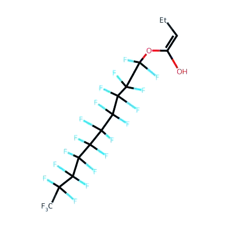 CCC=C(O)OC(F)(F)C(F)(F)C(F)(F)C(F)(F)C(F)(F)C(F)(F)C(F)(F)C(F)(F)C(F)(F)C(F)(F)F